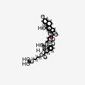 C[C@H]1CC2C3CCC4=CC(=O)C=C[C@]4(C)[C@@]3(Cl)[C@@H](O)C[C@]2(C)[C@@]1(OC(=O)CCCON(O)O)C(=O)COC(=O)Oc1ccc(C[C@H](N)C(=O)OCCCCON(O)O)cc1